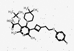 Cc1nc(C)c([C@H](OC(C)(C)C)C(=O)O)c(N2CCC(C)(C)CC2)c1C1=CC(CCOc2ccc(F)cc2)C1